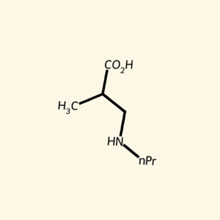 [CH2]CCNCC(C)C(=O)O